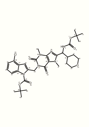 Cn1c(C(NC(=O)OC(C)(C)C)C2CCOCC2)nc2c1c(=O)n(Cc1cc3c(Cl)cccc3n1C(=O)OC(C)(C)C)c(=O)n2C